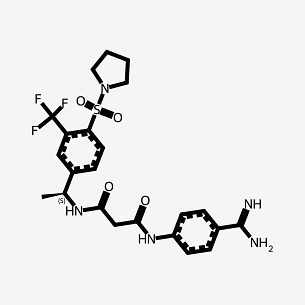 C[C@H](NC(=O)CC(=O)Nc1ccc(C(=N)N)cc1)c1ccc(S(=O)(=O)N2CCCC2)c(C(F)(F)F)c1